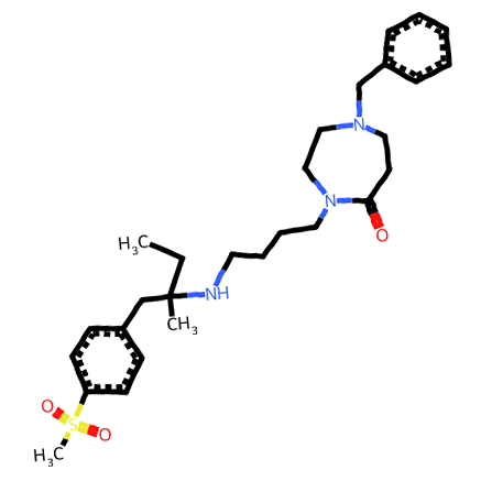 CCC(C)(Cc1ccc(S(C)(=O)=O)cc1)NCCCCN1CCN(Cc2ccccc2)CCC1=O